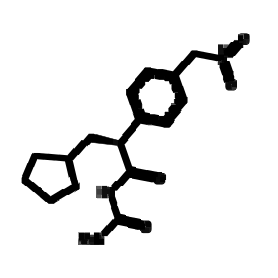 CNC(=O)NC(=O)[C@@H](CC1CCCC1)c1ccc(C[SH](=O)=O)cc1